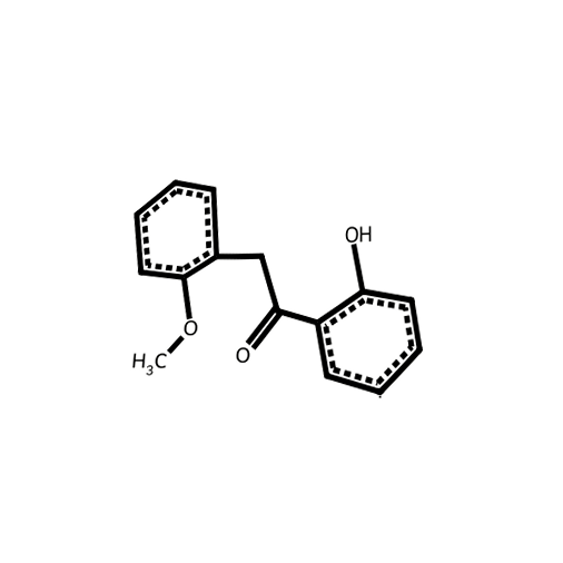 COc1ccccc1CC(=O)c1c[c]ccc1O